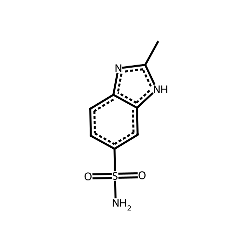 Cc1nc2ccc(S(N)(=O)=O)cc2[nH]1